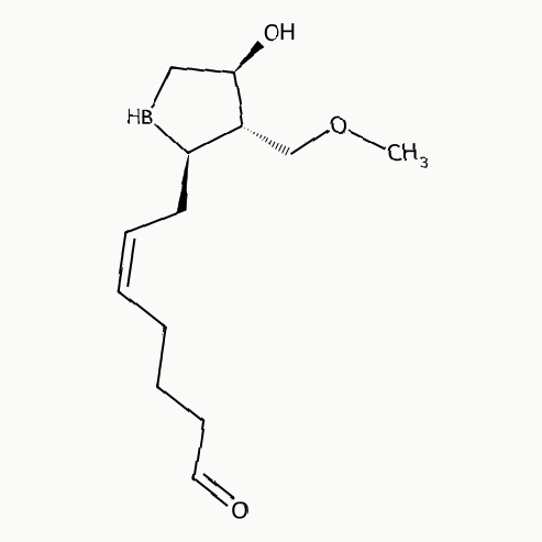 COC[C@H]1[C@H](O)CB[C@@H]1C/C=C\CCCC=O